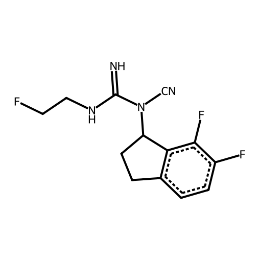 N#CN(C(=N)NCCF)C1CCc2ccc(F)c(F)c21